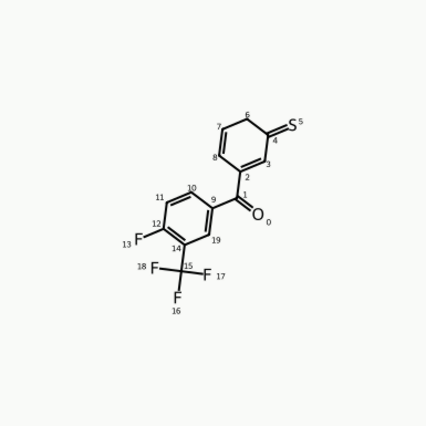 O=C(C1=CC(=S)CC=C1)c1ccc(F)c(C(F)(F)F)c1